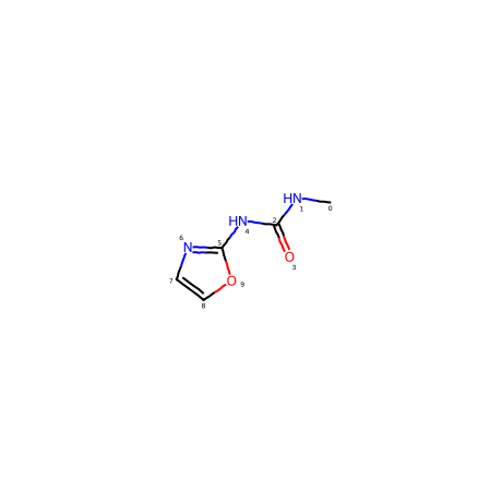 CNC(=O)Nc1ncco1